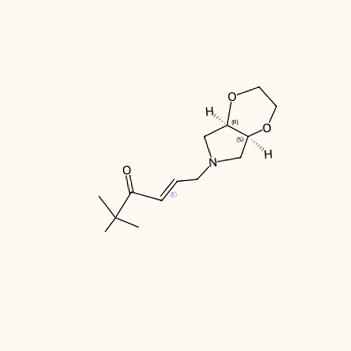 CC(C)(C)C(=O)/C=C/CN1C[C@@H]2OCCO[C@@H]2C1